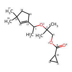 CC(OC(C)(C)COC(=O)C1CC1)C1=CC(C)(C)CC1